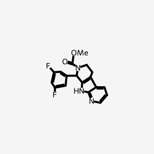 COC(=O)N1CCc2c([nH]c3ncccc23)C1c1cc(F)cc(F)c1